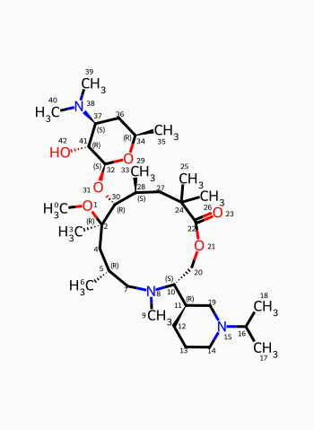 CO[C@]1(C)C[C@@H](C)CN(C)[C@@H]([C@@H]2CCCN(C(C)C)C2)COC(=O)C(C)(C)C[C@H](C)[C@H]1O[C@@H]1O[C@H](C)C[C@H](N(C)C)[C@H]1O